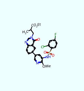 CCOC(=O)C(C)Cn1cnc2ccc(-c3cnc(OC)c(NS(=O)(=O)c4ccc(F)cc4Cl)c3)cc2c1=O